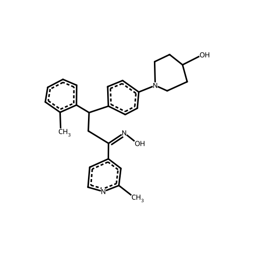 Cc1cc(C(CC(c2ccc(N3CCC(O)CC3)cc2)c2ccccc2C)=NO)ccn1